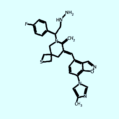 C=C1/C(=C/c2ccc(-n3cnc(C)c3)c3oncc23)CC2(CSC2)CN1C(CNN)c1ccc(F)cc1